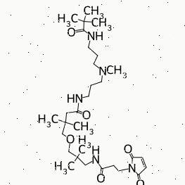 CN(CCCNC(=O)CC(C)(C)COCC(C)(C)CNC(=O)CCN1C(=O)C=CC1=O)CCCNC(=O)C(C)(C)C